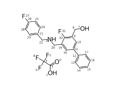 O=C(O)C(F)(F)F.OCc1cc(-c2ccccc2)cc(CNCc2ccc(F)cc2)c1F